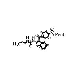 C=CCNC(=O)Nc1sc2ccccc2c1C(=O)N1CCC([S+]([O-])CCCCC)CC1